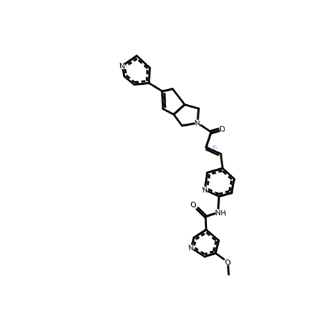 COc1cncc(C(=O)Nc2ccc(/C=C/C(=O)N3CC4C=C(c5ccncc5)CC4C3)cn2)c1